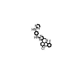 Fc1cccc(F)c1C1=NCc2cnc(Nc3ccc(Nc4ncccn4)cc3)nc2C2C=CC(Cl)=CC12